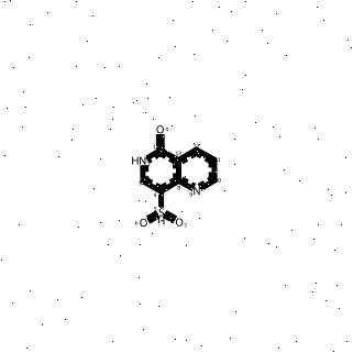 O=c1[nH]cc([SH](=O)=O)c2ncccc12